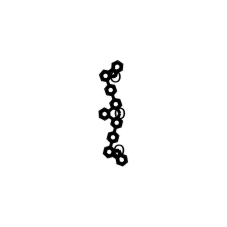 c1ccc2c(c1)-c1cc(-c3ccc(-c4cccc5c4oc4ccccc45)cc3)ccc1Oc1ccc(-c3ccc(-c4cccc5c4oc4ccccc45)cc3)cc1-2